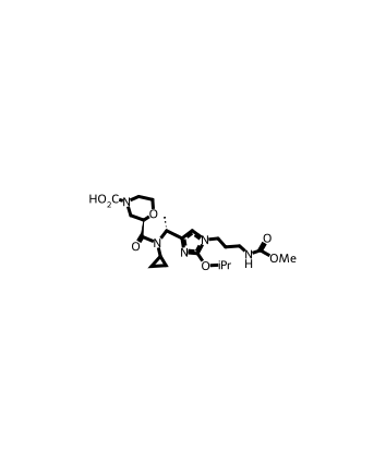 COC(=O)NCCCn1cc([C@@H](C)N(C(=O)[C@H]2CN(C(=O)O)CCO2)C2CC2)nc1OC(C)C